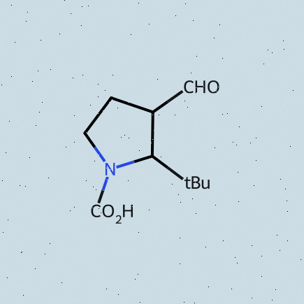 CC(C)(C)C1C(C=O)CCN1C(=O)O